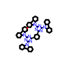 c1cc(-c2nc(-n3c4ccccc4c4ccccc43)nc(-n3c4ccccc4c4ccccc43)n2)cc(-c2nc(-n3c4ccccc4c4ccccc43)nc(-n3c4ccccc4c4ccccc43)n2)c1